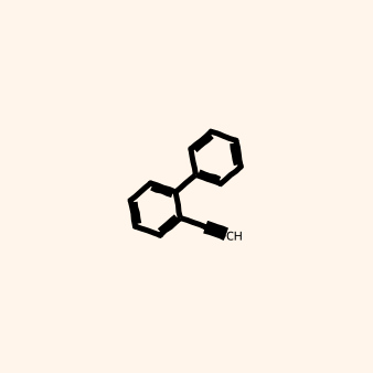 C#Cc1ccccc1-c1ccccc1